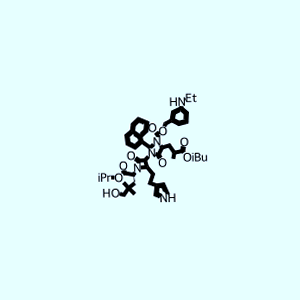 CCNc1cccc(COC(=O)N2C(CC(C)C(=O)OCC(C)C)C(=O)N(C3C(=O)N([C@H](CC(C)(C)CO)C(=O)OC(C)C)C3CCc3cc[nH]c3)C2c2cccc3ccccc23)c1